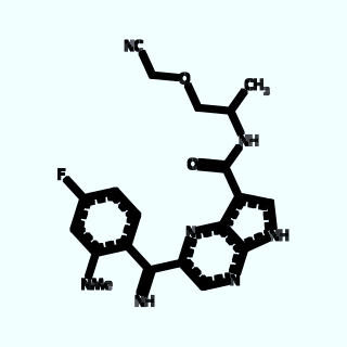 CNc1cc(F)ccc1C(=N)c1cnc2[nH]cc(C(=O)NC(C)COCC#N)c2n1